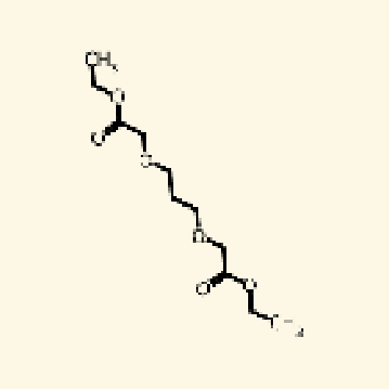 CCOC(=O)COCCCOCC(=O)OCC